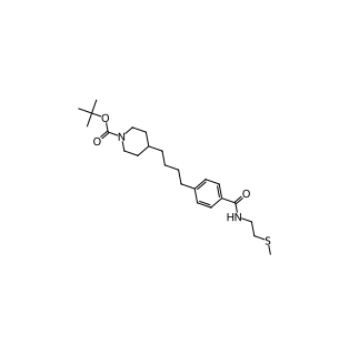 CSCCNC(=O)c1ccc(CCCCC2CCN(C(=O)OC(C)(C)C)CC2)cc1